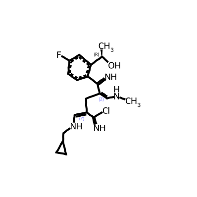 CN/C=C(/C/C(=C/NCC1CC1)C(=N)Cl)C(=N)c1ccc(F)cc1[C@@H](C)O